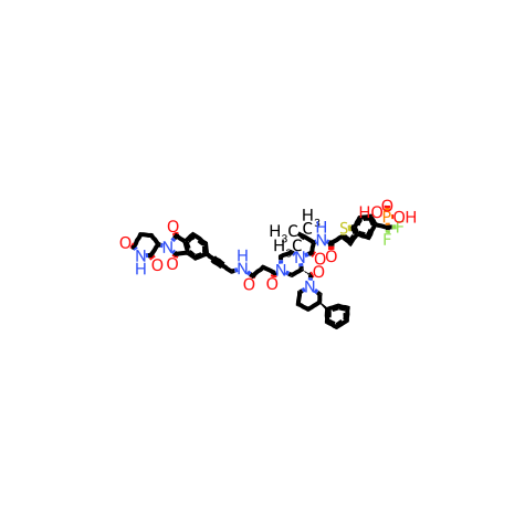 CC(C)(C)C(NC(=O)c1cc2cc(C(F)(F)P(=O)(O)O)ccc2s1)C(=O)N1CCN(C(=O)CC(=O)NCC#Cc2ccc3c(c2)C(=O)N(C2CCC(=O)NC2=O)C3=O)C[C@H]1C(=O)N1CCC[C@H](c2ccccc2)C1